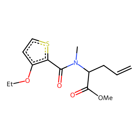 C=CCC(C(=O)OC)N(C)C(=O)c1sccc1OCC